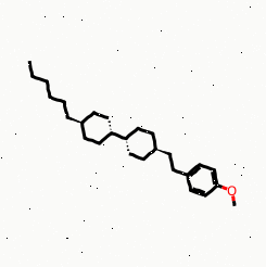 CCCCCC[C@H]1CC[C@H]([C@H]2CC[C@H](CCc3ccc(OC)cc3)CC2)CC1